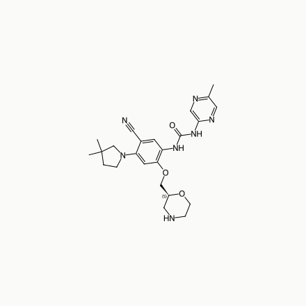 Cc1cnc(NC(=O)Nc2cc(C#N)c(N3CCC(C)(C)C3)cc2OC[C@@H]2CNCCO2)cn1